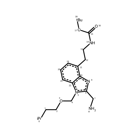 CC(C)CCOCn1c(CN)nc2c(CCNC(=O)OC(C)(C)C)cccc21